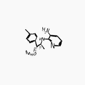 CO[C@H](c1ccc(C)cc1)[C@H](C)Nc1ncccc1N